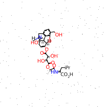 CC(C)C[C@H](NC(=O)[C@H](C)OC(=O)[C@H](O)[C@@H](O)C(=O)OC1=CC[C@@]2(O)[C@H]3Cc4ccc(CO)c5c4[C@@]2(CCN3C)[C@H]1O5)C(=O)O